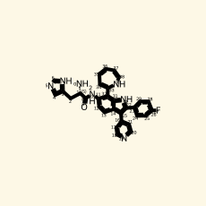 N[C@@H](Cc1cnc[nH]1)C(=O)Nc1ccc2c(-c3ccncc3)c(-c3ccc(F)cc3)[nH]c2c1C1=CC=CC=CN1